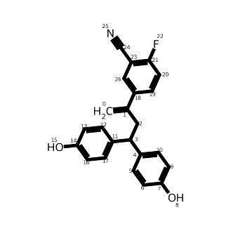 C=C(CC(c1ccc(O)cc1)c1ccc(O)cc1)c1ccc(F)c(C#N)c1